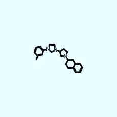 Cc1cccc(N2C=CN(C3CCN(C4CCc5ccccc5C4)C3)C2)c1